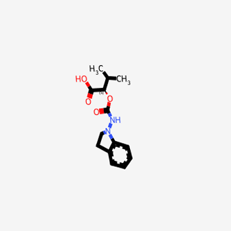 CC(C)[C@H](OC(=O)NN1CCc2ccccc21)C(=O)O